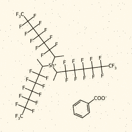 C[CH]([Sn+]([CH](C)C(F)(F)C(F)(F)C(F)(F)C(F)(F)C(F)(F)C(F)(F)F)[CH](C)C(F)(F)C(F)(F)C(F)(F)C(F)(F)C(F)(F)C(F)(F)F)C(F)(F)C(F)(F)C(F)(F)C(F)(F)C(F)(F)C(F)(F)F.O=C([O-])c1ccccc1